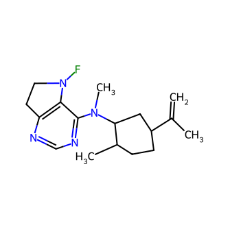 C=C(C)C1CCC(C)C(N(C)c2ncnc3c2N(F)CC3)C1